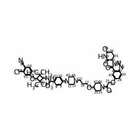 CC1(C)C(NC(=O)c2ccc(N3CCN(CCCOC4CCN(C(=O)COc5ccc6nnn(C7CCC(=O)NC7=O)c(=O)c6c5)CC4)CC3)cc2)C(C)(C)C1Oc1ccc(C#N)c(Cl)c1